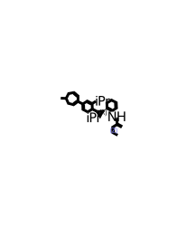 C=C(/C=C\C)CNC1=C([C@@H]2CC2C2C(C(C)C)=CC(C3=CCC(C)CC=C3)=CC2C(C)C)CCC=C1